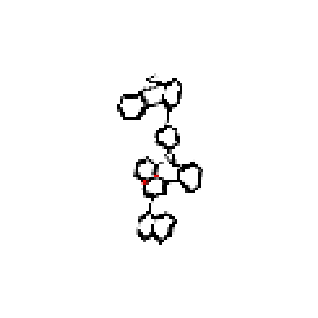 c1ccc(N(c2ccc(-c3cccc4sc5ccccc5c34)cc2)c2ccccc2-c2cccc(-c3cccc4ccccc34)c2)cc1